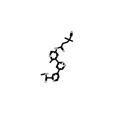 CNC(=O)c1cc(-c2cnnc(-c3cc(NC(=O)CCC(C)(C)C#N)cnc3C)c2)ccn1